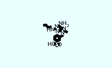 CCCCNc1nc(N)c2nc(C)n(Cc3cccc(P(C)(=O)O)c3)c2n1